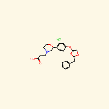 Cl.O=C(O)CCN1CCOC(c2ccc(OC3=COC(Cc4ccccc4)O3)cc2)C1